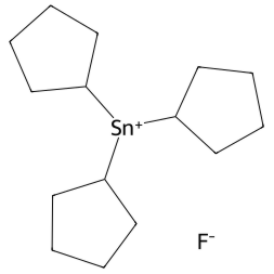 C1CC[CH]([Sn+]([CH]2CCCC2)[CH]2CCCC2)C1.[F-]